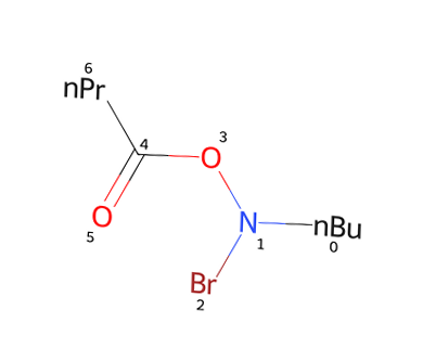 CCCCN(Br)OC(=O)CCC